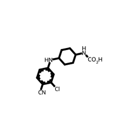 N#Cc1ccc(NC2CCC(NC(=O)O)CC2)cc1Cl